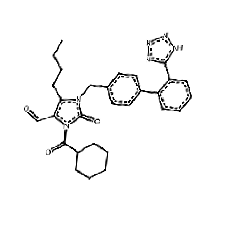 CCCCc1c(C=O)n(C(=O)C2CCCCC2)c(=O)n1Cc1ccc(-c2ccccc2-c2nnn[nH]2)cc1